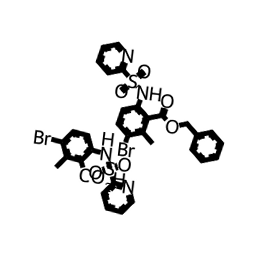 Cc1c(Br)ccc(NS(=O)(=O)c2ccccn2)c1C(=O)O.Cc1c(Br)ccc(NS(=O)(=O)c2ccccn2)c1C(=O)OCc1ccccc1